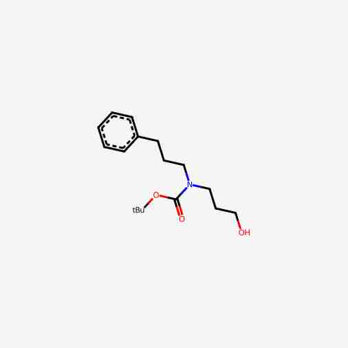 CC(C)(C)OC(=O)N(CCCO)CCCc1ccccc1